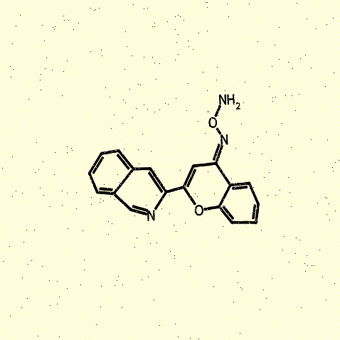 NON=c1cc(-c2cc3ccccc3cn2)oc2ccccc12